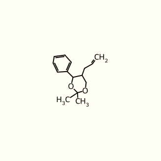 C=CCC1COC(C)(C)OC1c1ccccc1